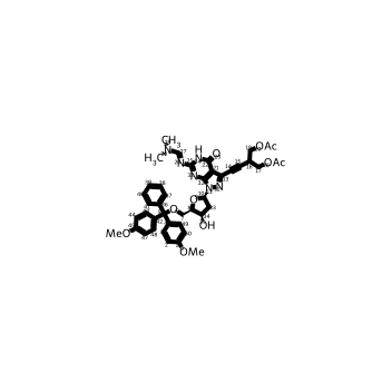 COc1ccc(C(OC[C@H]2O[C@@H](n3nc(C#CC(COC(C)=O)COC(C)=O)c4c(=O)[nH]c(/N=C/N(C)C)nc43)C[C@H]2O)(c2ccccc2)c2ccc(OC)cc2)cc1